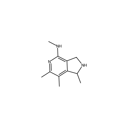 CNc1nc(C)c(C)c2c1CNC2C